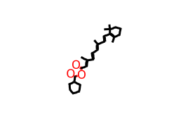 CC1=C(/C=C/C(C)=C/C=C/C(C)=C/C(=O)OC(=O)C2CCCCC2)C(C)(C)CCC1